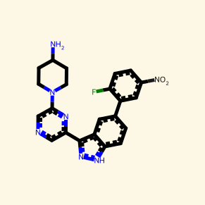 NC1CCN(c2cncc(-c3n[nH]c4ccc(-c5cc([N+](=O)[O-])ccc5F)cc34)n2)CC1